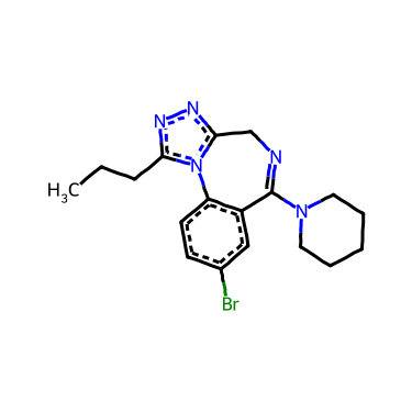 CCCc1nnc2n1-c1ccc(Br)cc1C(N1CCCCC1)=NC2